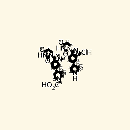 Cl.Cn1nc(N2CCC(=O)NC2=O)c2ccc([C@@H]3CCN(CC(=O)O)CC3(F)F)cc21.Cn1nc(N2CCC(=O)NC2=O)c2ccc([C@@H]3CCNCC3(F)F)cc21